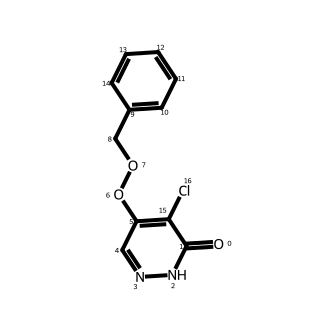 O=c1[nH]ncc(OOCc2ccccc2)c1Cl